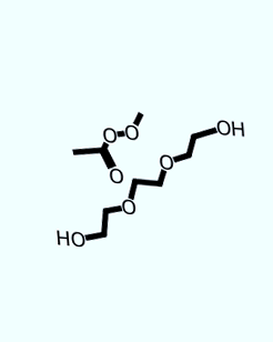 COOC(C)=O.OCCOCCOCCO